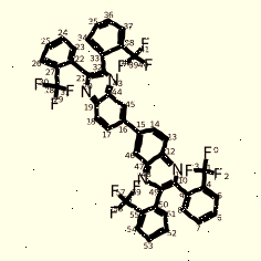 FC(F)(F)c1ccccc1-c1nc2ccc(-c3ccc4nc(-c5ccccc5C(F)(F)F)c(-c5ccccc5C(F)(F)F)nc4c3)cc2nc1-c1ccccc1C(F)(F)F